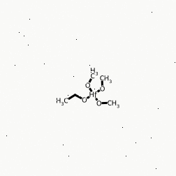 CC[O][Hf]([O]C)([O]C)[O]C